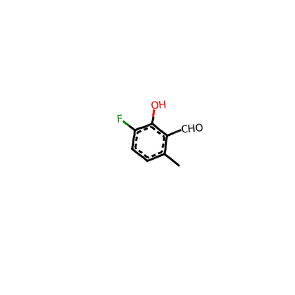 Cc1ccc(F)c(O)c1C=O